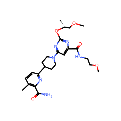 COCCNC(=O)c1cc(N2CCC(c3ccc(C)c(C(N)=O)n3)CC2)nc(O[C@H](C)COC)n1